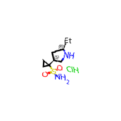 CC[C@@H]1C[C@H](C2(S(N)(=O)=O)CC2)CN1.Cl